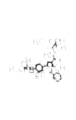 Cc1c(C(=O)NCCC(C)(C)C(=O)O)cc(-c2ccc(SNC(C)(C)C(F)(F)F)c(C(F)(F)F)c2)n1CC1CCCCC1